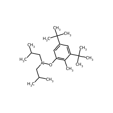 Cc1c([O][Al]([CH2]C(C)C)[CH2]C(C)C)cc(C(C)(C)C)cc1C(C)(C)C